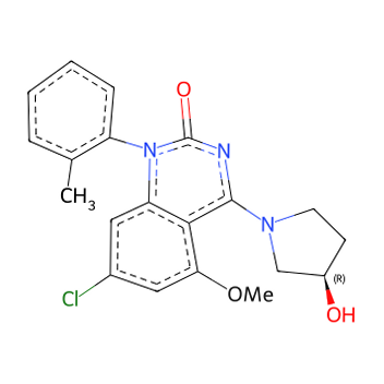 COc1cc(Cl)cc2c1c(N1CC[C@@H](O)C1)nc(=O)n2-c1ccccc1C